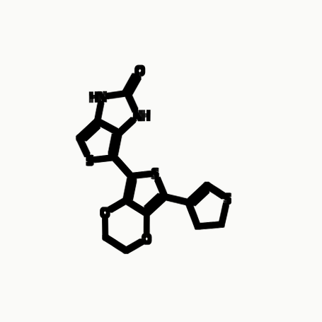 O=c1[nH]c2csc(-c3sc(C4=CSCC4)c4c3OCCO4)c2[nH]1